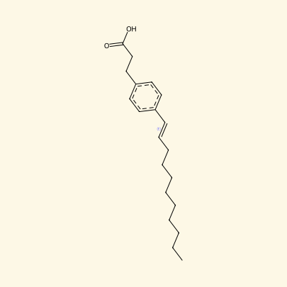 CCCCCCCCC/C=C/c1ccc(CCC(=O)O)cc1